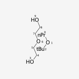 CCCOC(C)(C)C.OCCOCCO